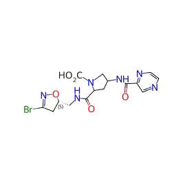 O=C(NC1CC(C(=O)NC[C@@H]2CC(Br)=NO2)N(C(=O)O)C1)c1cnccn1